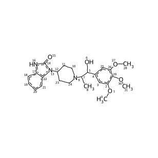 COc1cc(C(O)C(C)N2CCC(n3c(=O)[nH]c4ccccc43)CC2)cc(OC)c1OC